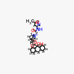 Cc1cc(NC(=O)C[N+]23CCC(CC2)[C@@H](OC(=O)C2(O)c4ccccc4Cc4ccccc42)C3)no1